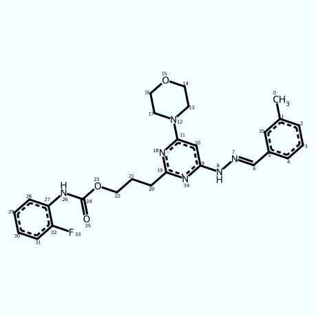 Cc1cccc(C=NNc2cc(N3CCOCC3)nc(CCCOC(=O)Nc3ccccc3F)n2)c1